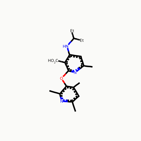 CCC(CC)Nc1cc(C)nc(Oc2c(C)cc(C)nc2C)c1C(=O)O